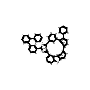 c1ccc(-c2ccccc2-c2cccc(-c3nc4nc(n3)c3cccc5oc6ccc(cc6c53)c3ccc(-c5ccccc5)c(c3)c3cccc4c3)c2)cc1